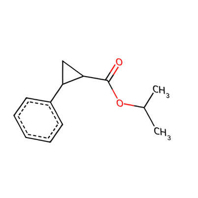 CC(C)OC(=O)C1CC1c1ccccc1